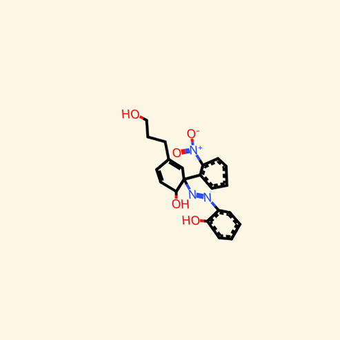 O=[N+]([O-])c1ccccc1C1(N=Nc2ccccc2O)C=C(CCCO)C=CC1O